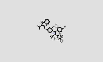 CC(C)c1nc2ccccn2c1Cc1ccc2c(c1)COc1cc(F)ccc1/C2=C(\c1noc(=O)[nH]1)C1CC1